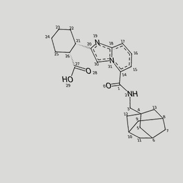 O=C(NCC12CC3CC(CC(C3)C1)C2)c1cccc2nc([C@H]3CCCC[C@H]3C(=O)O)cn12